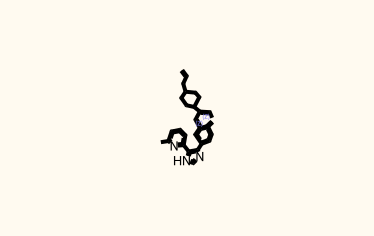 C=CCC1CCC(C(=C/C)/C=c2/cc(-c3nc[nH]c3-c3cccc(C)n3)ccc2=C)CC1